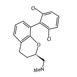 CNC[C@H]1CCc2cccc(-c3c(Cl)cccc3Cl)c2O1